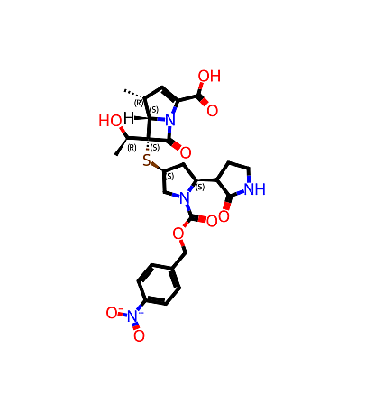 C[C@@H]1C=C(C(=O)O)N2C(=O)[C@@](S[C@H]3C[C@@H](C4CCNC4=O)N(C(=O)OCc4ccc([N+](=O)[O-])cc4)C3)([C@@H](C)O)[C@H]12